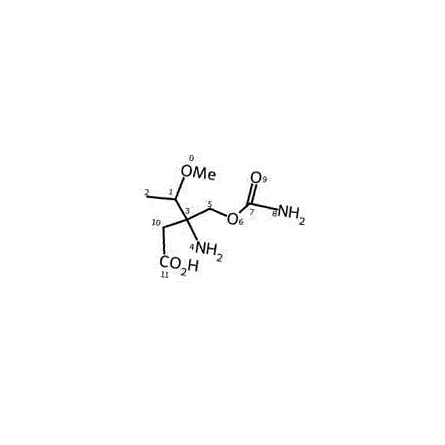 COC(C)C(N)(COC(N)=O)CC(=O)O